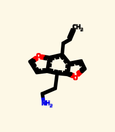 C=CCc1c2ccoc2c(CCN)c2ccoc12